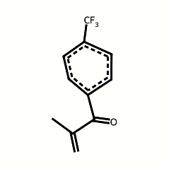 C=C(C)C(=O)c1ccc(C(F)(F)F)cc1